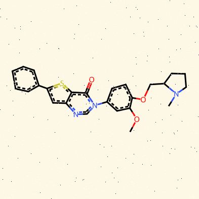 COc1cc(-n2cnc3cc(-c4ccccc4)sc3c2=O)ccc1OCC1CCCN1C